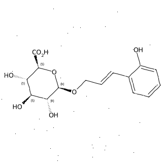 O=C(O)[C@H]1O[C@@H](OCC=Cc2ccccc2O)[C@H](O)[C@@H](O)[C@@H]1O